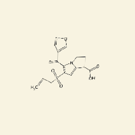 C=CCS(=O)(=O)c1cc2n(c1C(=O)c1ccoc1)CCC2C(=O)O